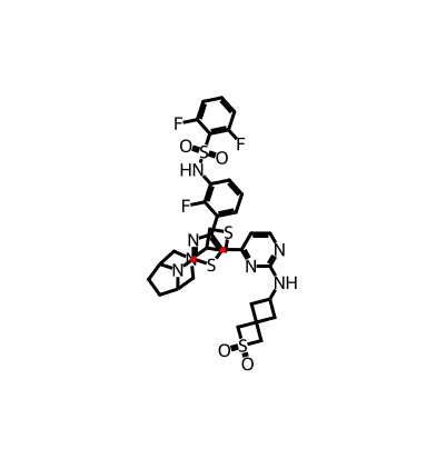 O=S1(=O)CC2(CC(Nc3nccc(-c4sc(N5C6CCC5CN(C5CSC5)C6)nc4-c4cccc(NS(=O)(=O)c5c(F)cccc5F)c4F)n3)C2)C1